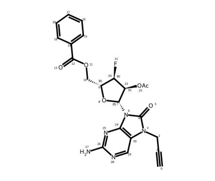 C#CCn1c(=O)n([C@@H]2O[C@H](COC(=O)c3ccccc3)[C@@H](F)[C@H]2OC(C)=O)c2nc(N)ncc21